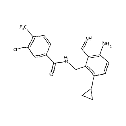 N=Cc1c(N)ccc(C2CC2)c1CNC(=O)c1ccc(C(F)(F)F)c(Cl)c1